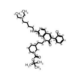 CCN(CC)CCCCNc1ncc2cc(-c3ccccc3Cl)c(=O)n(CCC3CCCN(C(=O)OC(C)(C)C)C3)c2n1